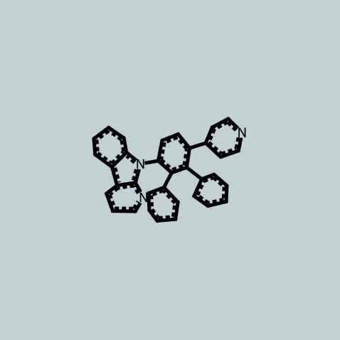 c1ccc(-c2c(-c3ccncc3)ccc(-n3c4ccccc4c4cccnc43)c2-c2ccccc2)cc1